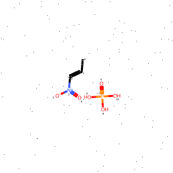 CC=C[N+](=O)[O-].O=P(O)(O)O